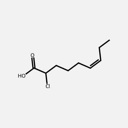 CC/C=C\CCCC(Cl)C(=O)O